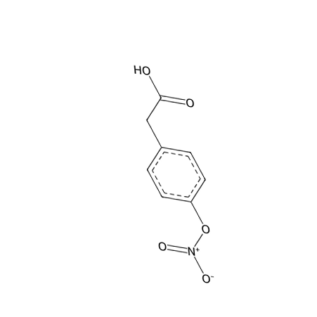 O=C(O)Cc1ccc(O[N+](=O)[O-])cc1